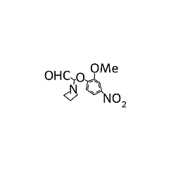 COc1cc([N+](=O)[O-])ccc1OC(C=O)N1CCC1